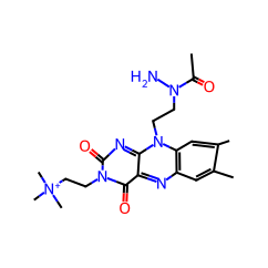 CC(=O)N(N)CCn1c2nc(=O)n(CC[N+](C)(C)C)c(=O)c-2nc2cc(C)c(C)cc21